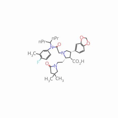 CCCC(CCC)N(C(=O)CN1C[C@H](c2ccc3c(c2)OCO3)[C@@H](C(=O)O)[C@@H]1CCN1CC(C)(C)CC1=O)c1ccc(F)c(C)c1